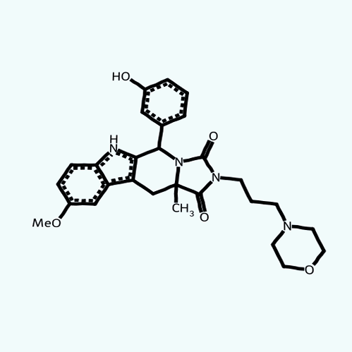 COc1ccc2[nH]c3c(c2c1)CC1(C)C(=O)N(CCCN2CCOCC2)C(=O)N1C3c1cccc(O)c1